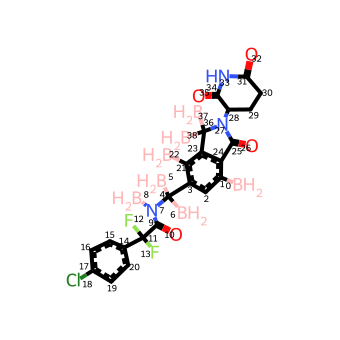 Bc1cc(C(B)(B)N(B)C(=O)C(F)(F)c2ccc(Cl)cc2)c(B)c2c1C(=O)N(C1CCC(=O)NC1=O)C2(B)B